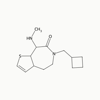 CNC1C(=O)N(CC2CCC2)CCC2C=CSC21